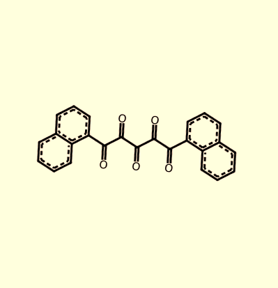 O=C(C(=O)C(=O)c1cccc2ccccc12)C(=O)C(=O)c1cccc2ccccc12